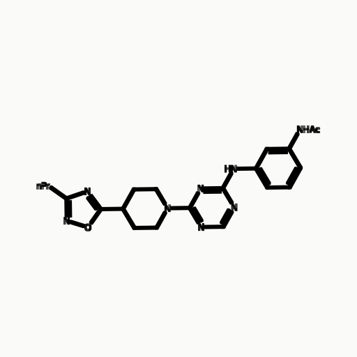 CCCc1noc(C2CCN(c3ncnc(Nc4cccc(NC(C)=O)c4)n3)CC2)n1